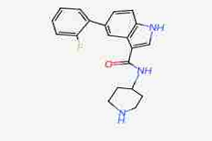 O=C(NC1CCNCC1)c1c[nH]c2ccc(-c3ccccc3F)cc12